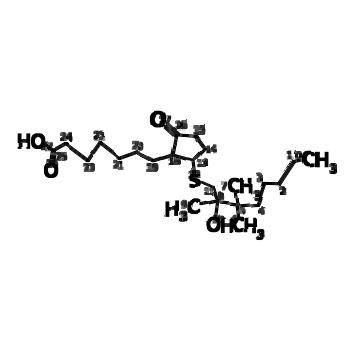 CCCCCC(C)(C)C(C)(O)CSC1CCC(=O)C1CCCCCCC(=O)O